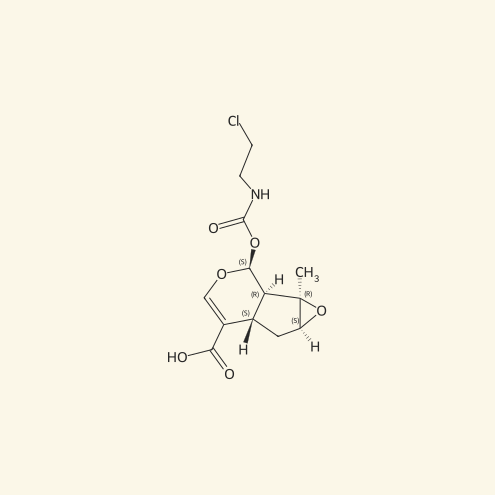 C[C@]12O[C@H]1C[C@@H]1C(C(=O)O)=CO[C@@H](OC(=O)NCCCl)[C@H]12